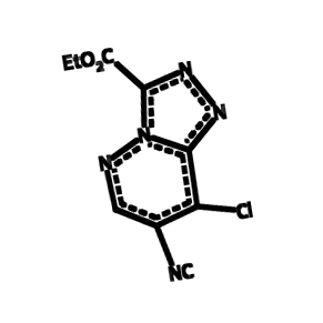 [C-]#[N+]c1cnn2c(C(=O)OCC)nnc2c1Cl